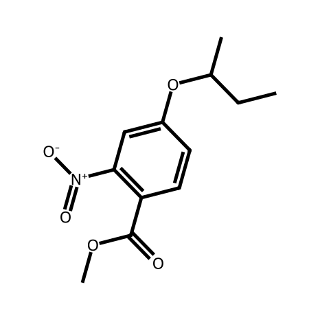 CCC(C)Oc1ccc(C(=O)OC)c([N+](=O)[O-])c1